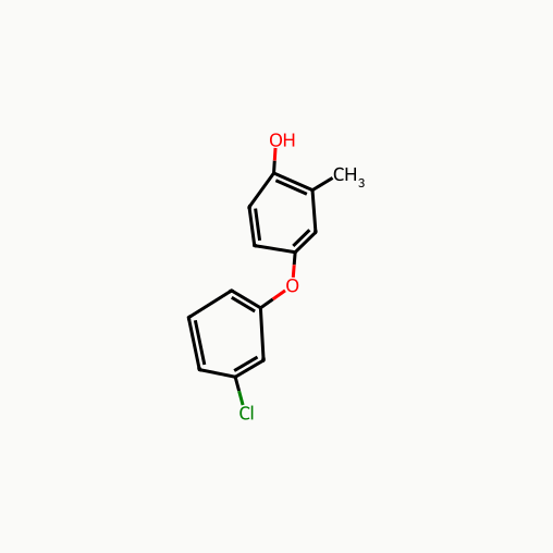 Cc1cc(Oc2cccc(Cl)c2)ccc1O